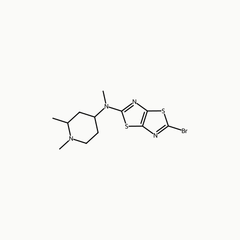 CC1CC(N(C)c2nc3sc(Br)nc3s2)CCN1C